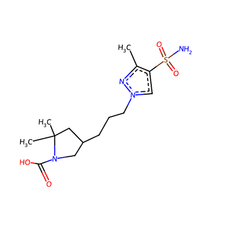 Cc1nn(CCCC2CN(C(=O)O)C(C)(C)C2)cc1S(N)(=O)=O